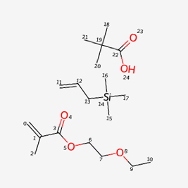 C=C(C)C(=O)OCCOCC.C=CC[Si](C)(C)C.CC(C)(C)C(=O)O